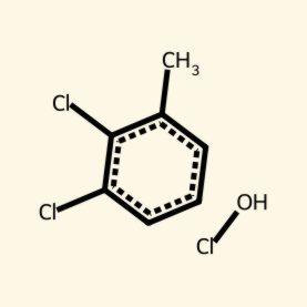 Cc1cccc(Cl)c1Cl.OCl